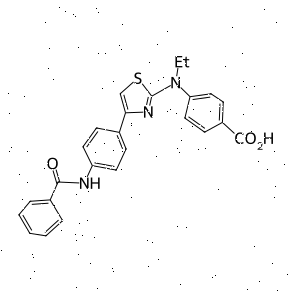 CCN(c1ccc(C(=O)O)cc1)c1nc(-c2ccc(NC(=O)c3ccccc3)cc2)cs1